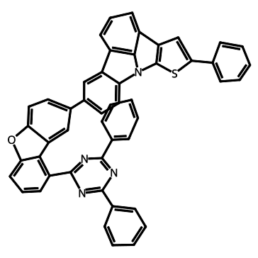 c1ccc(-c2nc(-c3ccccc3)nc(-c3cccc4oc5ccc(-c6ccc7c(c6)c6cccc8c9cc(-c%10ccccc%10)sc9n7c68)cc5c34)n2)cc1